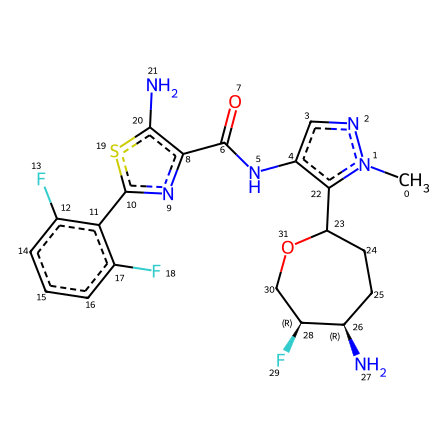 Cn1ncc(NC(=O)c2nc(-c3c(F)cccc3F)sc2N)c1C1CC[C@@H](N)[C@@H](F)CO1